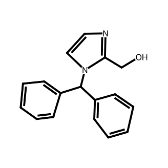 OCc1nccn1C(c1ccccc1)c1ccccc1